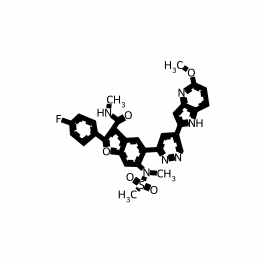 CNC(=O)c1c(-c2ccc(F)cc2)oc2cc(N(C)S(C)(=O)=O)c(-c3cc(-c4cc5nc(OC)ccc5[nH]4)cnn3)cc12